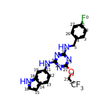 Fc1ccc(CNc2nc(Nc3ccc4cc[nH]c4c3)nc(OCC(F)(F)F)n2)cc1